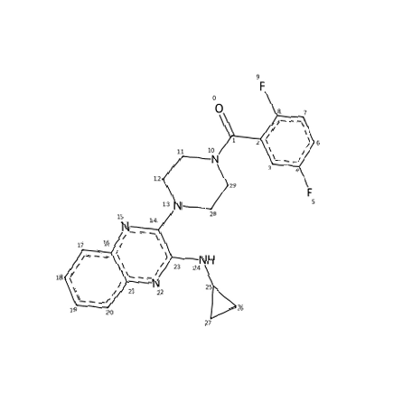 O=C(c1cc(F)ccc1F)N1CCN(c2nc3ccccc3nc2NC2CC2)CC1